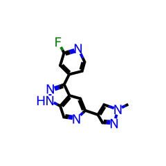 Cn1cc(-c2cc3c(-c4ccnc(F)c4)n[nH]c3cn2)cn1